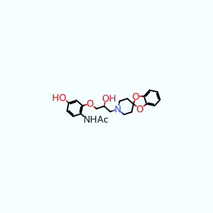 CC(=O)Nc1ccc(O)cc1OC[C@@H](O)CN1CCC2(CC1)Oc1ccccc1O2